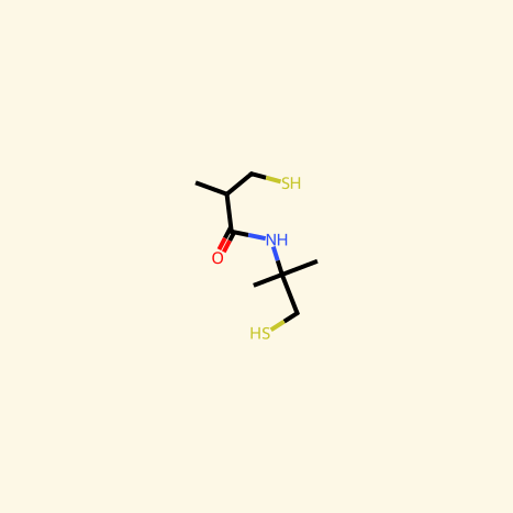 CC(CS)C(=O)NC(C)(C)CS